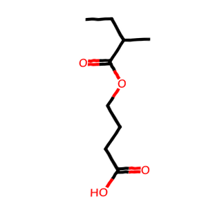 CCC(C)C(=O)OCCCC(=O)O